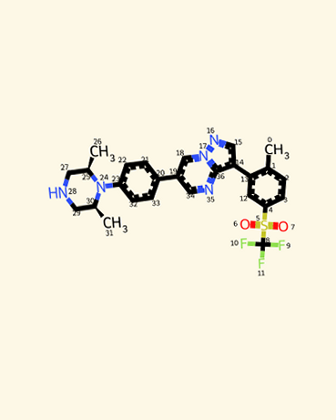 Cc1ccc(S(=O)(=O)C(F)(F)F)cc1-c1cnn2cc(-c3ccc(N4[C@H](C)CNC[C@@H]4C)cc3)cnc12